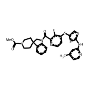 COC(=O)N1CCC(CNC(=O)c2nccc(Sc3cnc(Nc4cc(C)ccn4)s3)c2F)(c2ccccc2)CC1